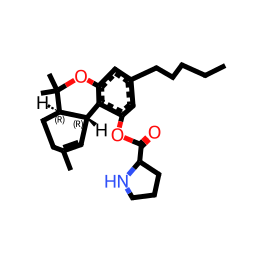 CCCCCc1cc(OC(=O)C2CCCN2)c2c(c1)OC(C)(C)[C@@H]1CCC(C)=C[C@@H]21